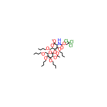 CCCCOCC1O[C@@H](OC)C(NC(=O)OCC(Cl)(Cl)Cl)[C@@H](OCCCC)[C@@H]1O[C@@H]1OC(COCCCC)[C@H](OCCCC)[C@H](OCCCC)C1OC(C)=O